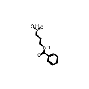 O=C(NCCC[SH](=O)=O)c1ccccc1